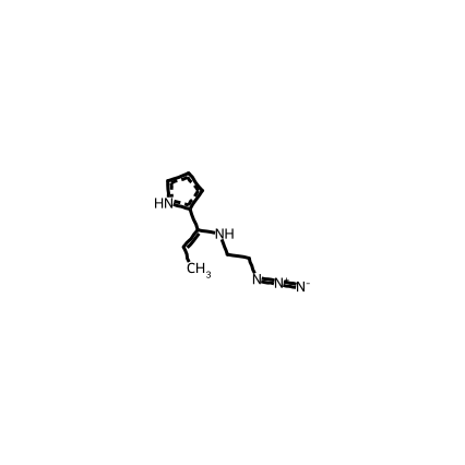 C/C=C(\NCCN=[N+]=[N-])c1ccc[nH]1